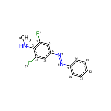 CNc1c(F)cc(N=Nc2ccccc2)cc1F